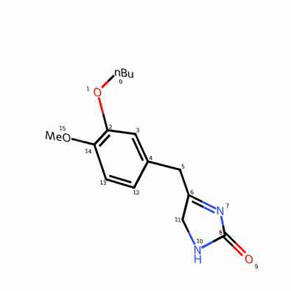 CCCCOc1cc(CC2=NC(=O)NC2)ccc1OC